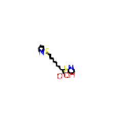 O=C(O)C(CCCCCCCCCSc1ccccn1)Sc1ccccn1